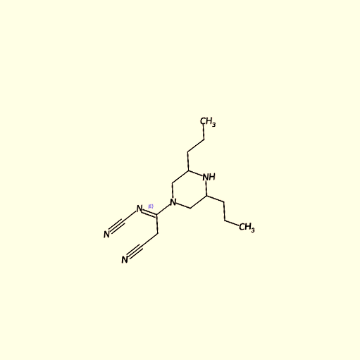 CCCC1CN(/C(CC#N)=N/C#N)CC(CCC)N1